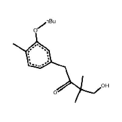 CCCCOc1cc(CC(=O)C(C)(C)CO)ccc1C